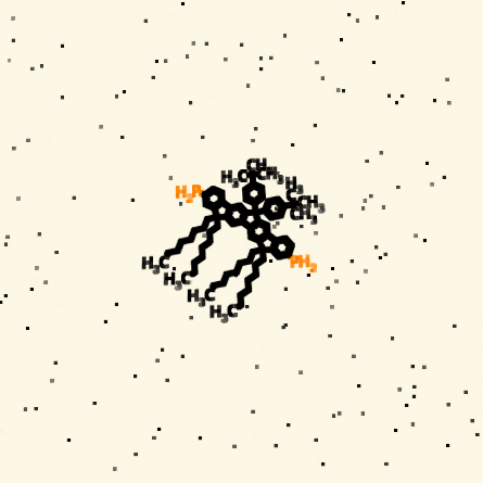 CCCCCCCCC1(CCCCCCCC)c2cc(P)ccc2-c2cc3c(cc21)-c1cc2c(cc1C3(c1ccc(C(C)(C)C)cc1)c1ccc(C(C)(C)C)cc1)-c1ccc(P)cc1C2(CCCCCCCC)CCCCCCCC